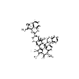 Cc1c(C(=O)N(C)c2ccccc2)cc(-c2cc3c(cc2C(=O)N2Cc4ccccc4C[C@H]2C)CN(C(=O)Cc2ccccc2CN(C)C)CC3)n1C